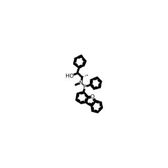 C[C@@H](C(O)c1ccccc1)N(C)[P@@](c1ccccc1)c1cccc2c1oc1ccccc12